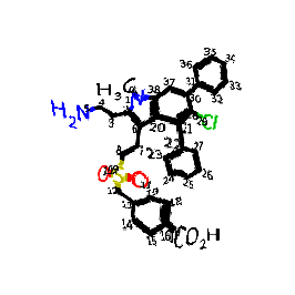 Cn1c(CCN)c(CCS(=O)(=O)Cc2ccc(C(=O)O)cc2)c2c(-c3ccccc3)c(Cl)c(-c3ccccc3)cc21